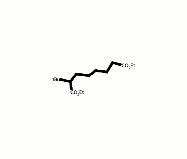 CCCCC(CCCCCC(=O)OCC)C(=O)OCC